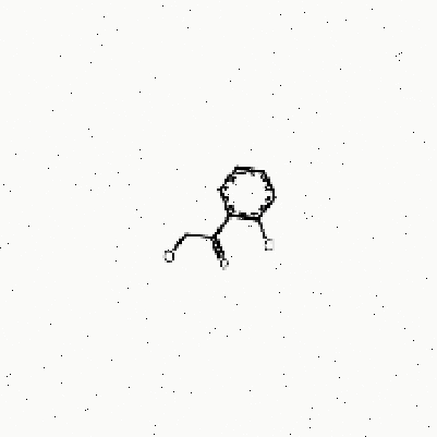 [O]CC(=O)c1ccccc1Cl